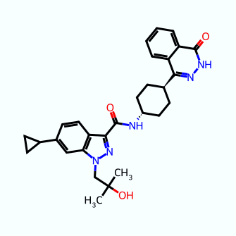 CC(C)(O)Cn1nc(C(=O)N[C@H]2CC[C@H](c3n[nH]c(=O)c4ccccc43)CC2)c2ccc(C3CC3)cc21